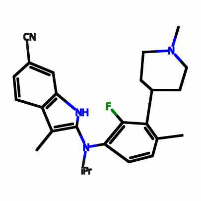 Cc1ccc(N(c2[nH]c3cc(C#N)ccc3c2C)C(C)C)c(F)c1C1CCN(C)CC1